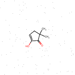 CC1(C)CC=C(O)C1=O